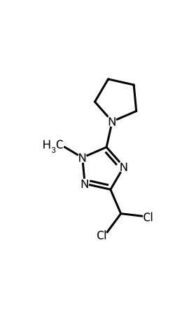 Cn1nc(C(Cl)Cl)nc1N1CCCC1